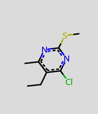 CCc1c(C)nc(SC)nc1Cl